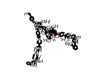 C#Cc1ccc(CNC(=O)[C@@H]2C[C@@H](O)CN2C(=O)[C@H](NC(=O)[C@H]2CCC3(CC2)C[C@H](N2CCC(c4cnc(N5CCN6c7cc(-c8ccccc8O)nnc7NC[C@H]6C5)nc4)CC2)C3)C(C)(CCO)CCC(C)(C)[C@H](NC(=O)N2CCN(C3CCN(c4cnc(N5CCc6[nH]c7nnc(-c8ccccc8O)cc7c6[C@H]5C)nc4)CC3)CC2)C(=O)N2C[C@H](O)C[C@H]2C(=O)N[C@@H](C)c2ccc(C#C)cc2)cc1